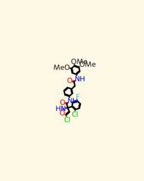 COc1cc(NC(=O)Cc2cccc(NC(=O)C3(c4cc(F)ccc4Cl)C=C(Cl)ON3)c2)cc(OC)c1OC